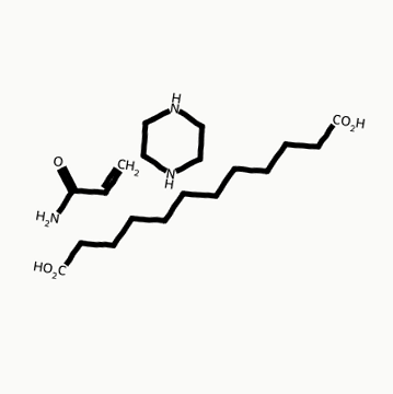 C1CNCCN1.C=CC(N)=O.O=C(O)CCCCCCCCCCC(=O)O